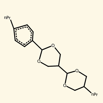 CCCc1ccc(C2OCC(C3OCC(CCC)CO3)CO2)cc1